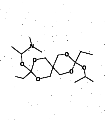 CCC1(OC(C)C)OCC2(CO1)COC(CC)(OC(C)N(C)C)OC2